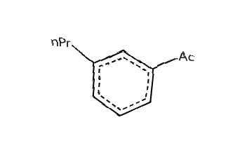 [CH2]C(=O)c1cccc(CCC)c1